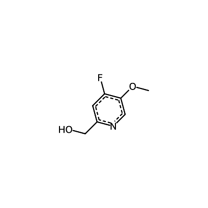 COc1cnc(CO)cc1F